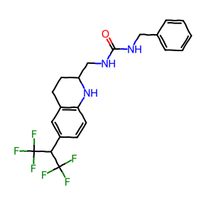 O=C(NCc1ccccc1)NCC1CCc2cc(C(C(F)(F)F)C(F)(F)F)ccc2N1